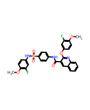 COc1ccc(NS(=O)(=O)c2ccc(NC(=O)c3cc4ccccc4nc3Oc3ccc(OC)c(F)c3)cc2)cc1F